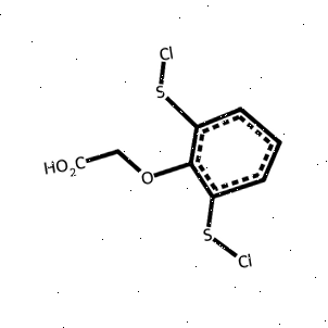 O=C(O)COc1c(SCl)cccc1SCl